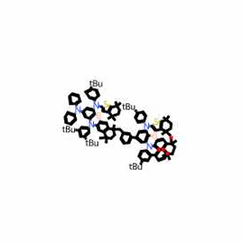 CC(C)(C)c1ccc(N2c3cc(N(c4ccccc4)c4ccccc4)cc4c3B(c3cc5c(cc3N4c3cc(C(C)(C)C)cc(C(C)(C)C)c3)C(C)(C)CCC5(C)Cc3cccc(-c4cc5c6c(c4)N(c4ccc(C(C)(C)C)cc4)c4sc7c(c4B6c4cc6c(cc4N5c4ccc(C(C)(C)C)cc4-c4ccccc4)C(C)(C)CCC6(C)C)C(C)(C)CCC7(C)C)c3)c3c2sc2c3C(C)(C)CCC2(C)C)cc1